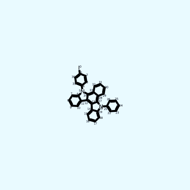 Ic1ccc(-n2c3ccccc3c3c4c5ccccc5n(-c5ccccc5)c4c4ccccc4c32)cc1